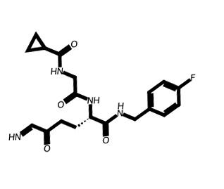 N=CC(=O)CC[C@H](NC(=O)CNC(=O)C1CC1)C(=O)NCc1ccc(F)cc1